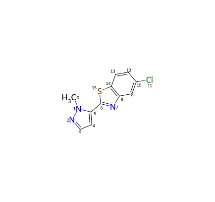 Cn1nccc1-c1nc2cc(Cl)ccc2s1